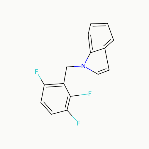 Fc1ccc(F)c(Cn2ccc3ccccc32)c1F